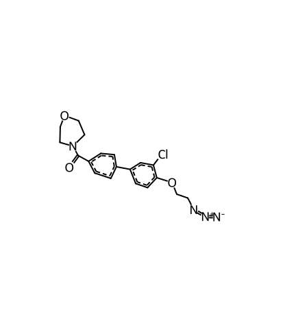 [N-]=[N+]=NCCOc1ccc(-c2ccc(C(=O)N3CCOCC3)cc2)cc1Cl